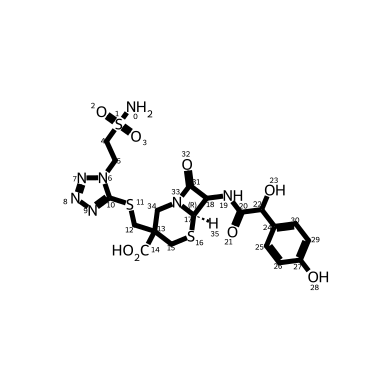 NS(=O)(=O)CCn1nnnc1SCC1(C(=O)O)CS[C@@H]2C(NC(=O)C(O)c3ccc(O)cc3)C(=O)N2C1